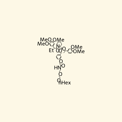 CCCCCCOCCOCCNC(=O)COc1cccc([C@@H](CCc2ccc(OC)c(OC)c2)OC(=O)[C@@H]2CCCCN2C(=O)[C@@H](CC)c2cc(OC)c(OC)c(OC)c2)c1